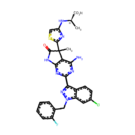 C[C@@H](Nc1csc(C2(C)C(=O)Nc3nc(-c4nn(Cc5ccccc5F)c5cc(Cl)ccc45)nc(N)c32)n1)C(=O)O